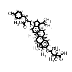 CC(=O)N(CC[C@]12CCC(C(C)C)=C1[C@H]1CC[C@@H]3[C@@]4(C)CC[C@H](OC(=O)CC(C)(C)C(=O)O)C(C)(C)[C@@H]4CC[C@@]3(C)[C@]1(C)CC2)Cc1ccc(Cl)cc1